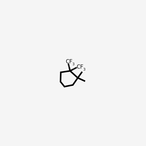 CC1(C)CCCCC1(C(F)(F)F)C(F)(F)F